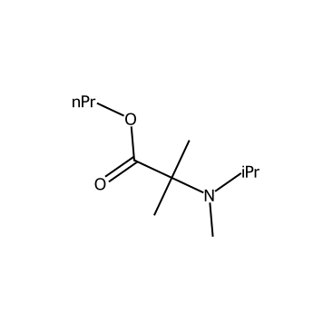 CCCOC(=O)C(C)(C)N(C)C(C)C